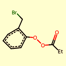 CCC(=O)OOc1ccccc1CBr